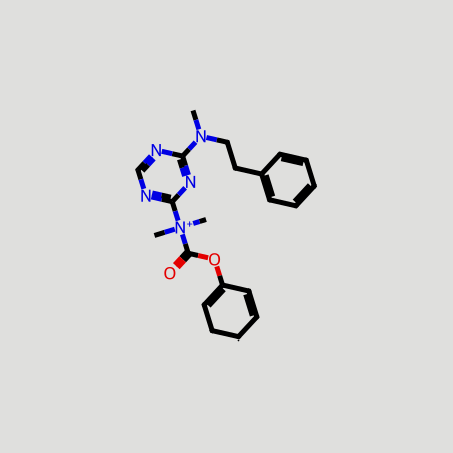 CN(CCc1ccccc1)c1ncnc([N+](C)(C)C(=O)OC2=CC[CH]C=C2)n1